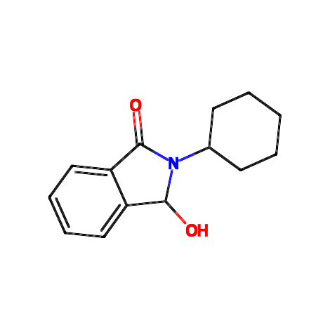 O=C1c2ccccc2C(O)N1C1CCCCC1